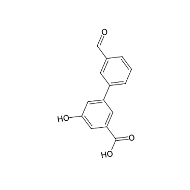 O=Cc1cccc(-c2cc(O)cc(C(=O)O)c2)c1